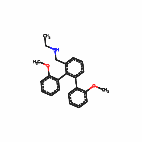 CCNCc1cccc(-c2ccccc2OC)c1-c1ccccc1OC